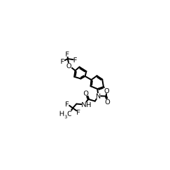 CC(F)(F)CNC(=O)Cn1c(=O)oc2ccc(-c3ccc(OC(F)(F)F)cc3)cc21